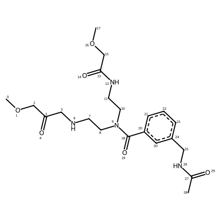 COCC(=O)CNCCN(CCNC(=O)COC)C(=O)c1cccc(CNC(C)=O)c1